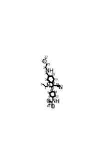 CCn1c(-c2ccc(NS(C)(=O)=O)cc2)c(C#N)c2ccc(CNCCOC)cc21